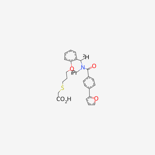 [2H]C(c1ccccc1OCCCSCC(=O)O)N(C(=O)c1ccc(-c2ccco2)cc1)C(C)C